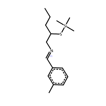 CCCC(C/N=C/c1cccc(C)c1)S[Si](C)(C)C